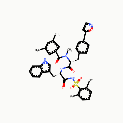 Cc1cc(C)cc(C(=O)N(C)[C@H](Cc2ccc(-c3ccno3)cc2)C(=O)N[C@@H](Cc2c[nH]c3ccccc23)C(=O)NS(=O)(=O)c2c(C(C)C)cccc2C(C)C)c1